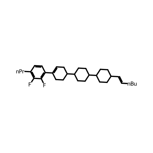 CCCC/C=C/C1CCC(C2CCC(C3CC=C(c4ccc(CCC)c(F)c4F)CC3)CC2)CC1